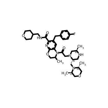 CC1COc2nc(C(=O)NCC3CCOCC3)c(Cc3ccc(F)cc3)cc2N1C(=O)CN1C[C@@H](C)NC[C@@H]1CN1[C@H](C)COC[C@H]1C